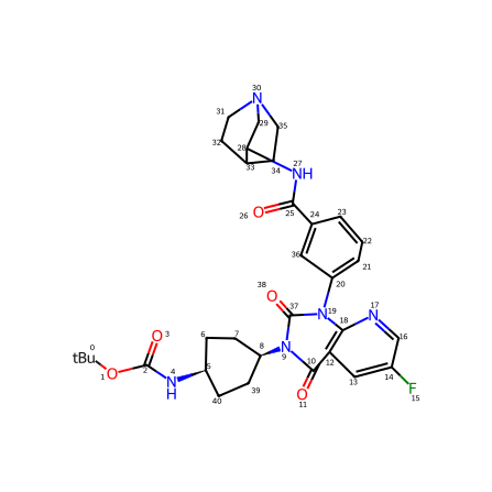 CC(C)(C)OC(=O)N[C@H]1CC[C@@H](n2c(=O)c3cc(F)cnc3n(-c3cccc(C(=O)NC4CN5CCC4CC5)c3)c2=O)CC1